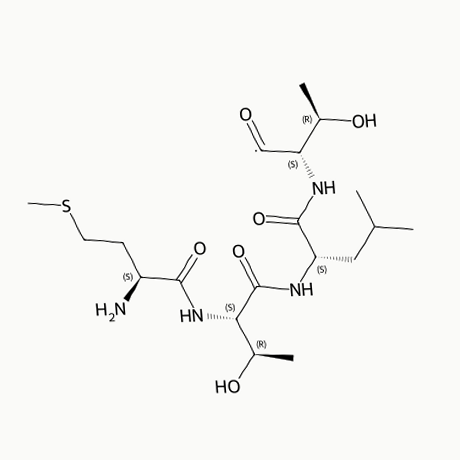 CSCC[C@H](N)C(=O)N[C@H](C(=O)N[C@@H](CC(C)C)C(=O)N[C@H]([C]=O)[C@@H](C)O)[C@@H](C)O